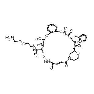 NCCOCCNC(=O)[C@@H]1CCNC(=O)/C=C/C(=O)N2CCO[C@H](C2)C(=O)N[C@@H](Cc2ccco2)C(=O)NCc2ccccc2CC(O)N1